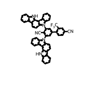 N#Cc1ccc(-c2cc(-n3c4ccccc4c4c5[nH]c6ccccc6c5ccc43)c(C#N)c(-n3c4ccccc4c4c5[nH]c6ccccc6c5ccc43)c2)c(C(F)(F)F)c1